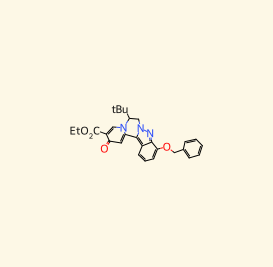 CCOC(=O)c1cn2c(cc1=O)-c1c3cccc(OCc4ccccc4)c3nn1CC2C(C)(C)C